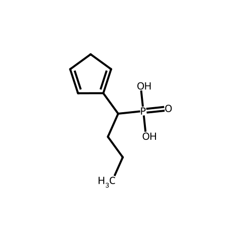 CCCC(C1=CCC=C1)P(=O)(O)O